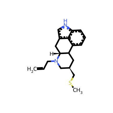 C=CCN1C[C@H](CSC)CC2c3cccc4[nH]cc(c34)C[C@H]21